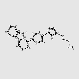 CCCCc1nnc(-c2ccc(-c3cccc4c3sc3ccccc34)cc2)o1